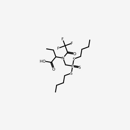 CCCCSP(=S)(CN(C(=O)C(F)(F)F)C(CC)C(=O)O)SCCCC